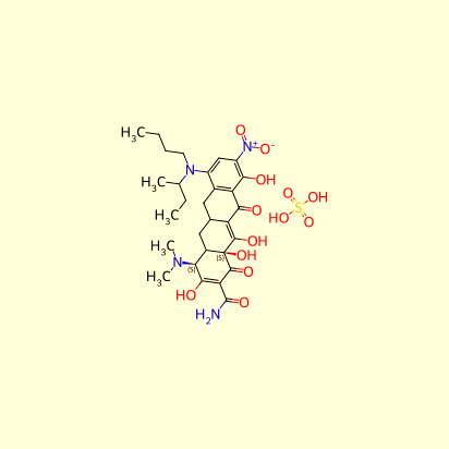 CCCCN(c1cc([N+](=O)[O-])c(O)c2c1CC1CC3[C@H](N(C)C)C(O)=C(C(N)=O)C(=O)[C@@]3(O)C(O)=C1C2=O)C(C)CC.O=S(=O)(O)O